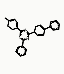 CC1=CC=C(c2nc(-c3ccccc3)nc(C3C=CC(c4ccccc4)=CC3)n2)CC1